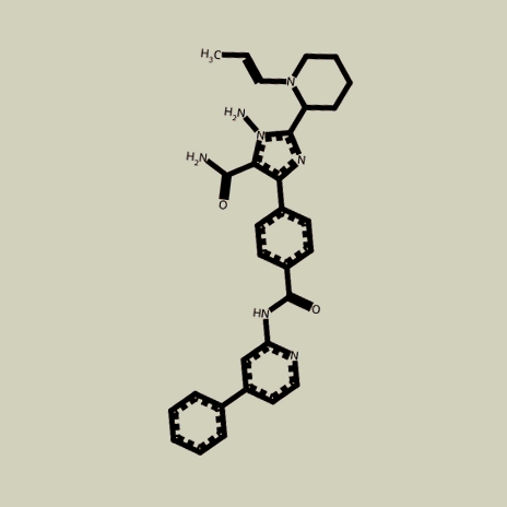 CC=CN1CCCCC1c1nc(-c2ccc(C(=O)Nc3cc(-c4ccccc4)ccn3)cc2)c(C(N)=O)n1N